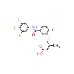 C/C(=C/C(=O)O)CSc1cc(C(=O)Nc2cc(F)c(F)c(F)c2)ccc1Cl